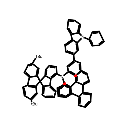 CC(C)(C)c1ccc2c(c1)C1(c3cc(C(C)(C)C)ccc3-2)c2ccccc2-c2c(N(c3cccc(-c4ccc5c6ccccc6n(-c6ccccc6)c5c4)c3)c3ccccc3-c3ccccc3-c3ccccc3-c3ccccc3)cccc21